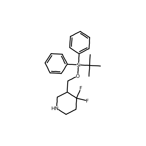 CC(C)(C)[Si](OCC1CNCCC1(F)F)(c1ccccc1)c1ccccc1